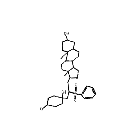 CCC1CCC(O)(CC(CC2CCC3C4CCC5CC(O)CCC5(C)C4CCC23C)S(=O)(=O)c2ccccc2)CC1